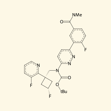 CNC(=O)c1ccc(F)c(-c2ccc(N(C[C@]3(c4ncccc4F)C[C@H](F)C3)C(=O)OC(C)(C)C)nn2)c1